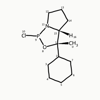 C[C@@]1(C2CCCCC2)OP(Cl)N2CCC[C@@H]21